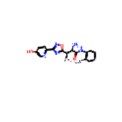 CC(c1nc(-c2ccc(O)cn2)no1)C(N)C(=O)NC1=C(C(=O)O)CCCC1